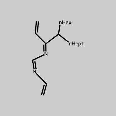 C=C/N=C\N=C(/C=C)C(CCCCCC)CCCCCCC